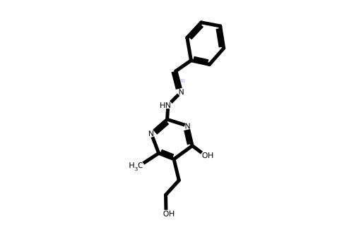 Cc1nc(N/N=C/c2ccccc2)nc(O)c1CCO